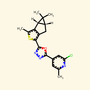 Cc1cc(-c2nnc(-c3sc(C)c4c3C[C@@H]3[C@H]4C3(C)C)o2)cc(Cl)n1